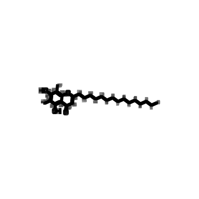 CCCCCCCCCCCCCCCc1cc(=O)c2c(O)c(C)c(O)c(C)c2o1